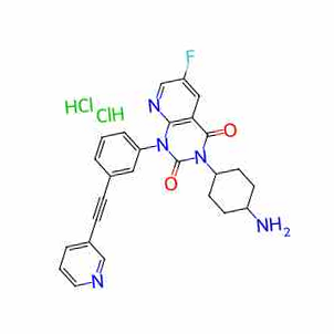 Cl.Cl.NC1CCC(n2c(=O)c3cc(F)cnc3n(-c3cccc(C#Cc4cccnc4)c3)c2=O)CC1